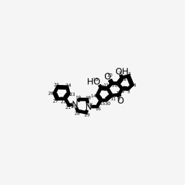 O=C1c2cccc(O)c2C(=O)c2c(O)cc(CN3CCN(Cc4ccccc4)CC3)cc21